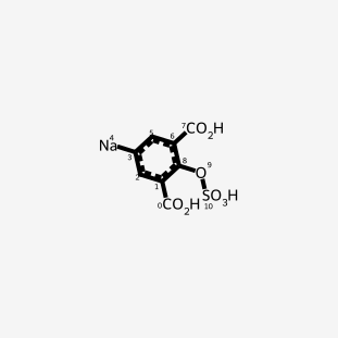 O=C(O)c1c[c]([Na])cc(C(=O)O)c1OS(=O)(=O)O